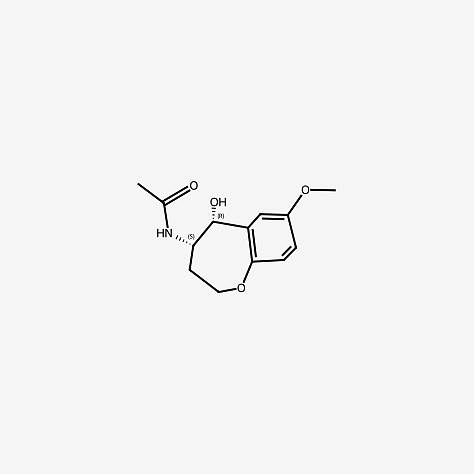 COc1ccc2c(c1)[C@@H](O)[C@@H](NC(C)=O)CCO2